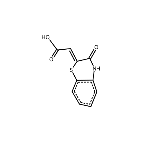 O=C(O)/C=C1\Sc2ccccc2NC1=O